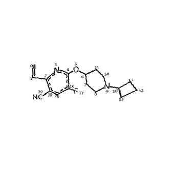 C=Cc1nc(OC2CCN(C3CCC3)CC2)c(F)cc1C#N